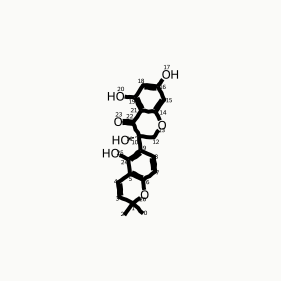 CC1(C)C=Cc2c(ccc([C@]3(O)COc4cc(O)cc(O)c4C3=O)c2O)O1